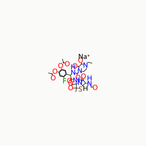 CCN1CCN(C(=O)NC(C(=O)N[C@@]2(C(=O)[O-])N3C(=O)[C@@H](NC=O)[C@H]3SC2(C)C)c2cc(OC(C)=O)c(OC(C)=O)cc2F)C(=O)C1=O.[Na+]